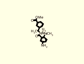 COC(=O)c1cccc(C(C)NC(=O)c2cc(N)ccc2N(C)C)c1